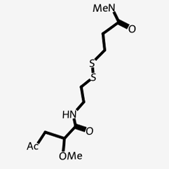 CNC(=O)CCSSCCNC(=O)C(CC(C)=O)OC